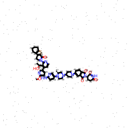 COc1ncc(-c2ccnc(N3CCc4c(sc5c4CCCC5)C3=O)c2C(C)O)cc1Nc1ccc(N2CCN(C3CCN(c4ccc5c(c4)C(=O)N([C@H]4CCC(=O)NC4=O)C5=O)CC3)C[C@@H]2C)cn1